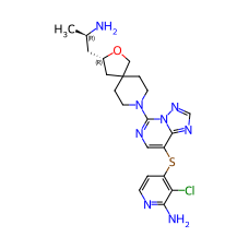 C[C@@H](N)C[C@H]1CC2(CCN(c3ncc(Sc4ccnc(N)c4Cl)c4ncnn34)CC2)CO1